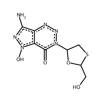 Nc1nn(O)c2c(=O)n(C3CSC(CO)O3)nnc12